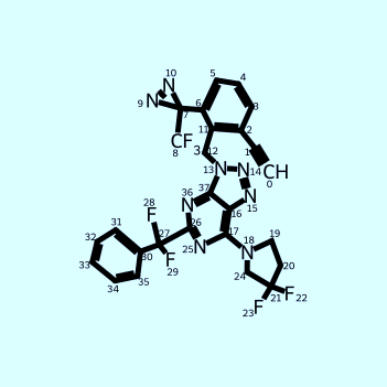 C#Cc1cccc(C2(C(F)(F)F)N=N2)c1Cn1nnc2c(N3CCC(F)(F)C3)nc(C(F)(F)c3ccccc3)nc21